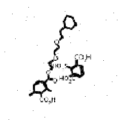 Cc1ccc(C(=O)OCCOCCOCCC2CCCCC2)c(C)c1C(=O)O.O=C(O)c1cccc(C(=O)O)c1S(=O)(=O)O